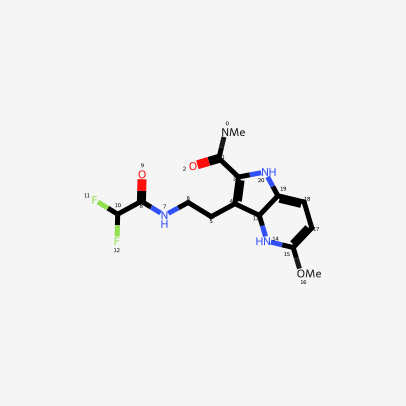 CNC(=O)C1=C(CCNC(=O)C(F)F)C2NC(OC)=CC=C2N1